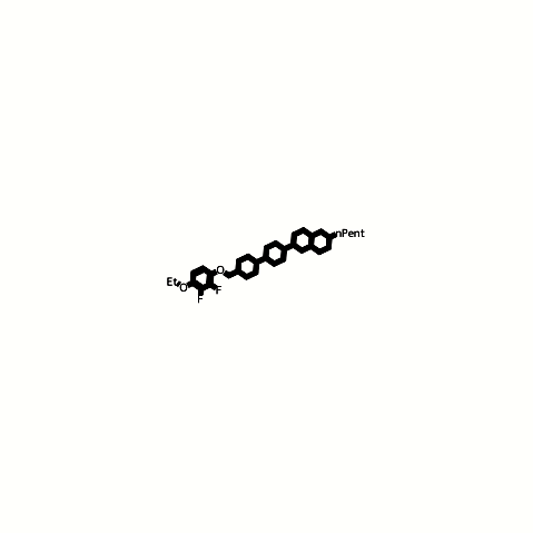 CCCCCC1CCC2CC(C3CCC(C4CCC(COc5ccc(OCC)c(F)c5F)CC4)CC3)CCC2C1